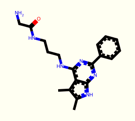 Cc1[nH]c2nc(-c3ccccc3)nc(NCCCNC(=O)CN)c2c1C